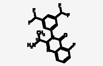 C[C@H](N)c1nc2cccc(F)c2c(=O)n1-c1cc(C(F)F)cc(C(F)F)c1